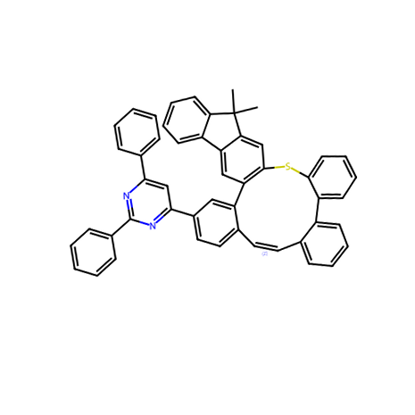 CC1(C)c2ccccc2-c2cc3c(cc21)Sc1ccccc1-c1ccccc1/C=C\c1ccc(-c2cc(-c4ccccc4)nc(-c4ccccc4)n2)cc1-3